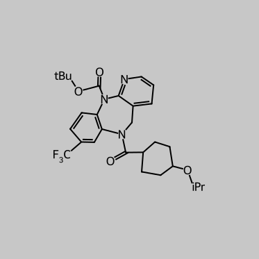 CC(C)OC1CCC(C(=O)N2Cc3cccnc3N(C(=O)OC(C)(C)C)c3ccc(C(F)(F)F)cc32)CC1